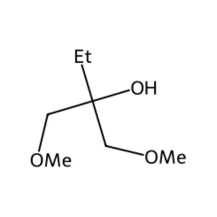 CCC(O)(COC)COC